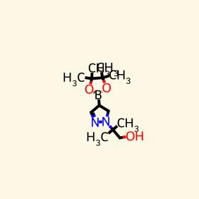 CC(C)(CO)N1CC(B2OC(C)(C)C(C)(C)O2)C=N1